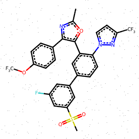 Cc1nc(-c2ccc(OC(F)(F)F)cc2)c(-c2cc(-c3cc(F)cc(S(C)(=O)=O)c3)ccc2-n2ccc(C(F)(F)F)n2)o1